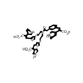 O=C(O)C(Cc1cccc(CC(=O)N(CCOc2coc(CC(C(=O)O)C3CCNC3)c2)CCOc2coc(CC(C(=O)O)C3CCNC3)c2)c1)C1CCNC1